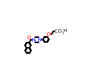 O=C(O)CCOc1cccc(N2CCN(C(=O)c3ccc4ccccc4c3)CC2)c1